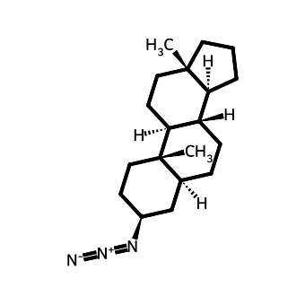 C[C@@]12CCC[C@H]1[C@@H]1CC[C@H]3C[C@@H](N=[N+]=[N-])CC[C@]3(C)[C@H]1CC2